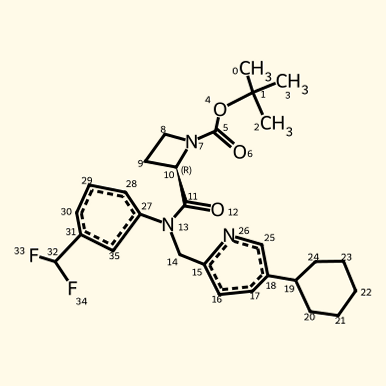 CC(C)(C)OC(=O)N1CC[C@@H]1C(=O)N(Cc1ccc(C2CCCCC2)cn1)c1cccc(C(F)F)c1